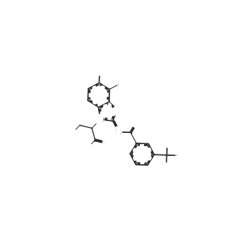 CCC(C(=O)O)n1/c(=N/C(=O)c2cccc(C(F)(F)F)c2)sc2c(F)c(Cl)ccc21